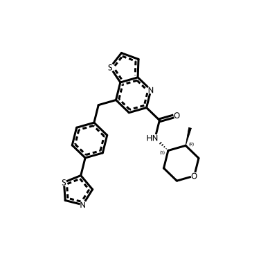 C[C@H]1COCC[C@@H]1NC(=O)c1cc(Cc2ccc(-c3cncs3)cc2)c2sccc2n1